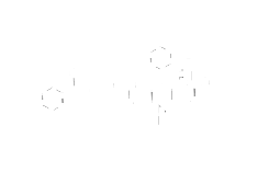 CC1=C(OC(=O)OCCOC(=O)c2ccccc2)C(c2ccccc2C(F)(F)F)C(OC(=O)OC(C)C)=C(C)N1